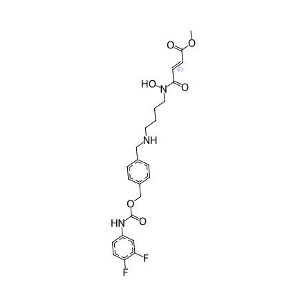 COC(=O)/C=C/C(=O)N(O)CCCCNCc1ccc(COC(=O)Nc2ccc(F)c(F)c2)cc1